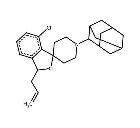 C=CCC1OC2(CCN(C3C4CC5CC(C4)CC3C5)CC2)c2c(Cl)cccc21